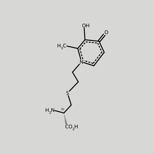 Cc1c(O)c(=O)ccn1CCSC[C@@H](N)C(=O)O